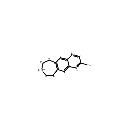 Clc1cnc2cc3c(cc2n1)CCNCC3